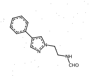 O=CNCCn1cc(-c2ccccc2)cn1